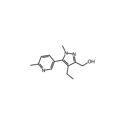 CCc1c(CO)nn(C)c1-c1ccc(C)nc1